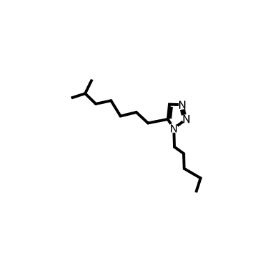 CCCCCn1nncc1CCCCCC(C)C